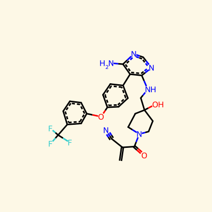 C=C(C#N)C(=O)N1CCC(O)(CNc2ncnc(N)c2-c2ccc(Oc3cccc(C(F)(F)F)c3)cc2)CC1